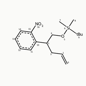 C=CCC(CO[Si](C)(C)C(C)(C)C)c1ccccc1[N+](=O)[O-]